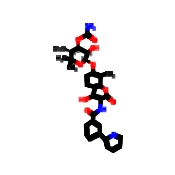 CO[C@@H]1[C@@H](OC(N)=O)[C@@H](O)[C@H](Oc2ccc3c(O)c(NC(=O)c4cccc(-c5ccccn5)c4)c(=O)oc3c2C)OC1(C)C